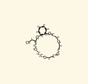 ClCC1COCCOCCOCCOCCOc2ccccc2O1